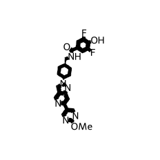 COc1ncc(-c2cc3nn([C@H]4CC[C@H](CNC(=O)c5cc(F)c(O)c(F)c5)CC4)cc3cn2)cn1